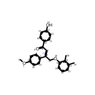 COc1ccc(/C(=C\C(=O)c2ccc(O)cc2)COc2cccc(C)c2C)cc1